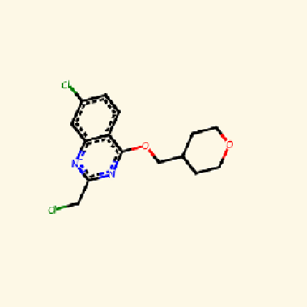 ClCc1nc(OCC2CCOCC2)c2ccc(Cl)cc2n1